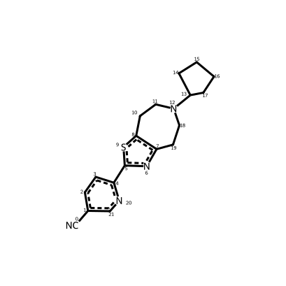 N#Cc1ccc(-c2nc3c(s2)CCN(C2CCCC2)CC3)nc1